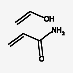 C=CC(N)=O.C=CO